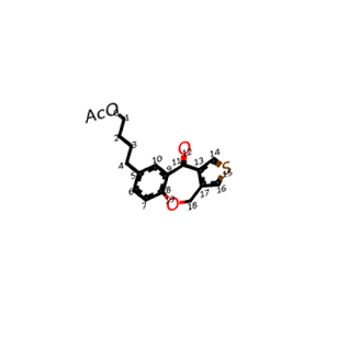 CC(=O)OCCCCc1ccc2c(c1)C(=O)c1cscc1CO2